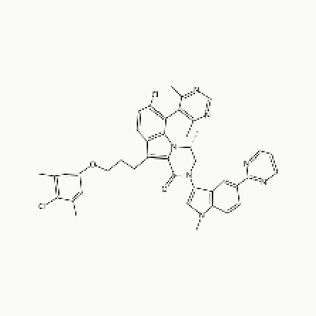 Cc1cc(OCCCc2c3n(c4c(-c5c(C)ncnc5C)c(Cl)ccc24)[C@H](C)CN(c2cn(C)c4ccc(-c5ncccn5)cc24)C3=O)cc(C)c1Cl